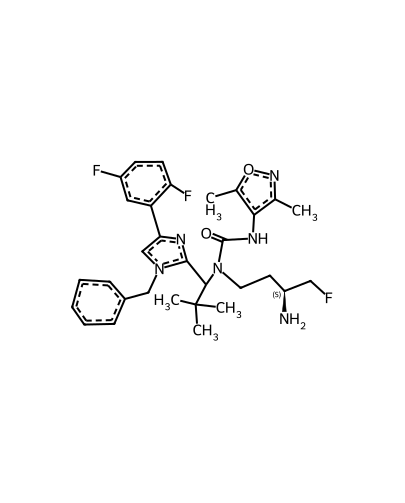 Cc1noc(C)c1NC(=O)N(CC[C@H](N)CF)C(c1nc(-c2cc(F)ccc2F)cn1Cc1ccccc1)C(C)(C)C